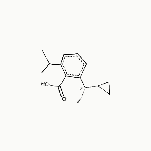 CC(C)c1cccc([C@@H](C)C2CC2)c1C(=O)O